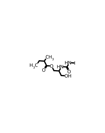 CCC(C)C(=O)OCC(CO)NC(=O)NI